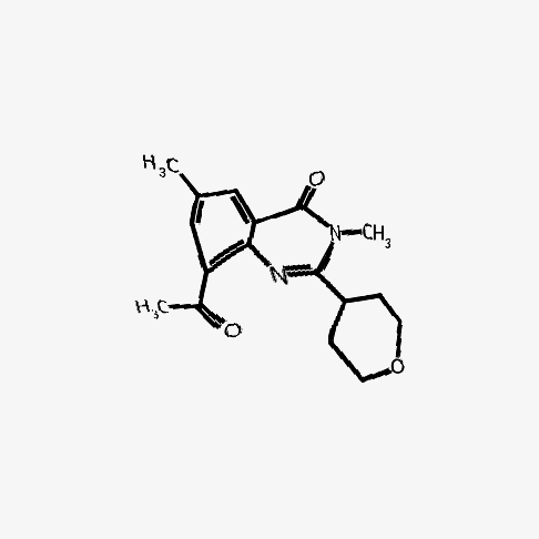 CC(=O)c1cc(C)cc2c(=O)n(C)c(C3CCOCC3)nc12